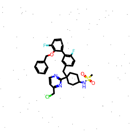 CS(=O)(=O)NC1CCC(Cc2ccc(F)c(-c3cccc(F)c3OCc3ccccc3)c2)(c2nccc(CCl)n2)CC1